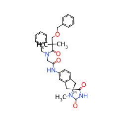 CN1C(=O)NC(=O)[C@]12Cc1ccc(NC(=O)CN(Cc3ccccc3)C(=O)C(C)(C)COCc3ccccc3)cc1C2